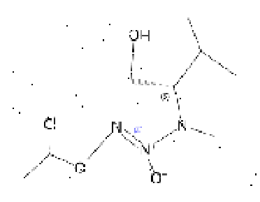 CC(Cl)O/N=[N+](\[O-])N(C)[C@H](CO)C(C)C